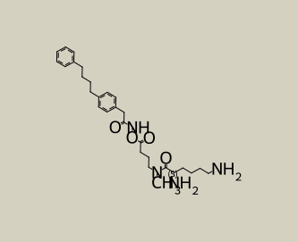 CN(CCCC(=O)ONC(=O)Cc1ccc(CCCCc2ccccc2)cc1)C(=O)[C@@H](N)CCCCN